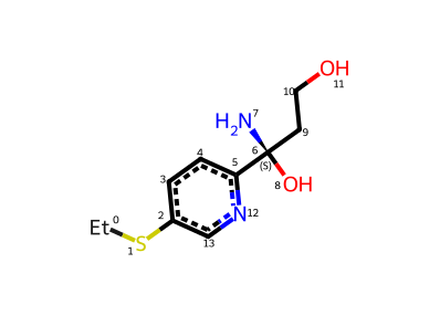 CCSc1ccc([C@@](N)(O)CCO)nc1